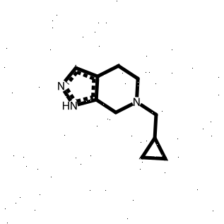 [c]1n[nH]c2c1CCN(CC1CC1)C2